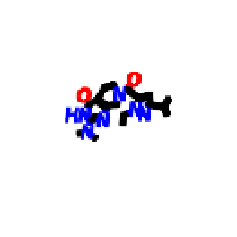 CCn1nc(C(C)C)cc1C(=O)N1CCc2c(nc(N(C)C)[nH]c2=O)C1